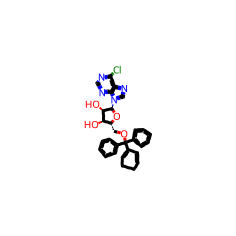 O[C@@H]1[C@H](O)[C@@H](COC(C2=CCCC=C2)(c2ccccc2)c2ccccc2)O[C@H]1n1cnc2c(Cl)ncnc21